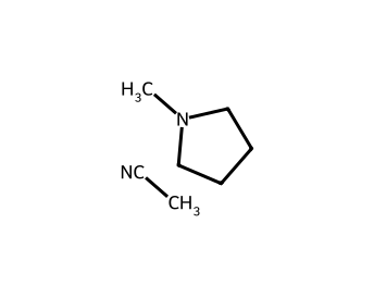 CC#N.CN1CCCC1